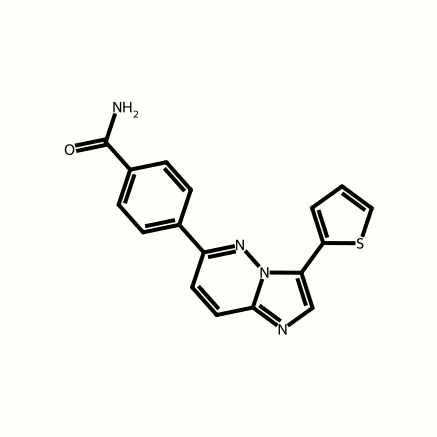 NC(=O)c1ccc(-c2ccc3ncc(-c4cccs4)n3n2)cc1